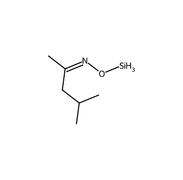 CC(CC(C)C)=NO[SiH3]